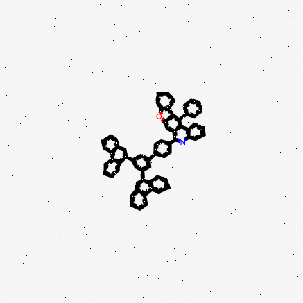 c1ccc(-c2c3c(cc4c(-c5ccc(-c6cc(-c7cc8ccccc8c8ccccc78)cc(-c7cc8ccccc8c8ccccc78)c6)cc5)nc5ccccc5c24)oc2ccccc23)cc1